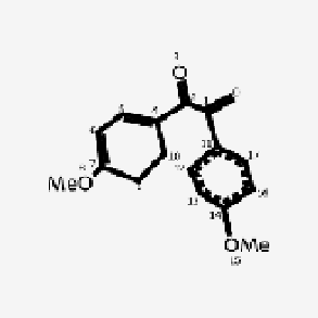 C=C(C(=O)C1=CC=C(OC)CC1)c1ccc(OC)cc1